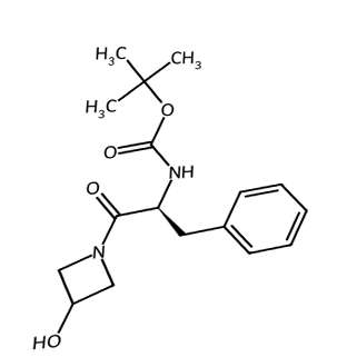 CC(C)(C)OC(=O)N[C@@H](Cc1ccccc1)C(=O)N1CC(O)C1